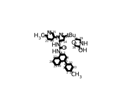 Cc1ccc(-c2ccc(NC(=O)Nc3cc(C(C)(C)C)nn3-c3ccc(C)nc3)c3ccccc23)cc1.OC1COCCN1